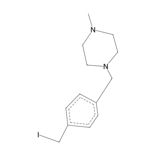 CN1CCN(Cc2ccc(CI)cc2)CC1